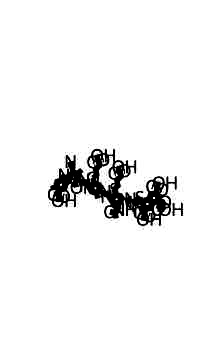 CC(=O)Nc1cc(N=Nc2cc(OCCCS(=O)(=O)O)c(N=Nc3c(C)c(C#N)c4nc5cc(C)c(S(=O)(=O)O)cc5n4c3O)cc2C)c(SCCCS(=O)(=O)O)cc1N=Nc1nc2c(S(=O)(=O)O)cc3c(S(=O)(=O)O)cc(S(=O)(=O)O)cc3c2s1